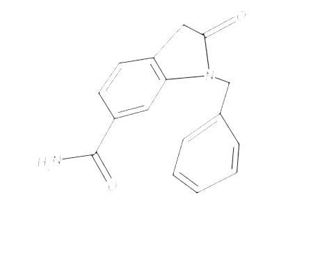 NC(=O)c1ccc2c(c1)N(Cc1ccccc1)C(=O)C2